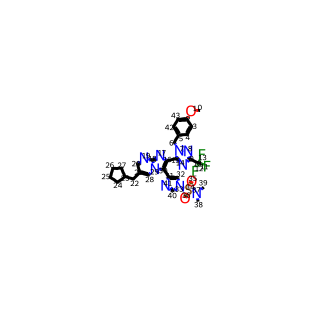 COc1ccc(Cn2nc(C(F)(F)F)nc2-c2nc3ncc(CC4CCCC4)cn3c2-c2cn(S(=O)(=O)N(C)C)cn2)cc1